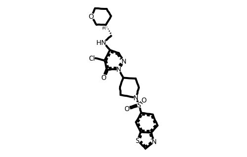 O=c1c(Cl)c(NC[C@H]2CCCOC2)cnn1C1CCN(S(=O)(=O)c2ccc3ncsc3c2)CC1